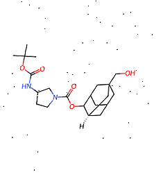 CC(C)(C)OC(=O)NC1CCN(C(=O)OC2C3CC4C[C@@H]2CC(CO)(C4)C3)C1